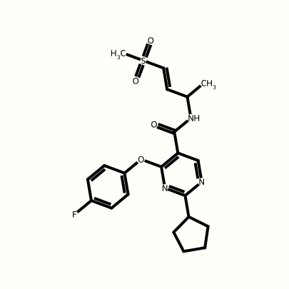 CC(/C=C/S(C)(=O)=O)NC(=O)c1cnc(C2CCCC2)nc1Oc1ccc(F)cc1